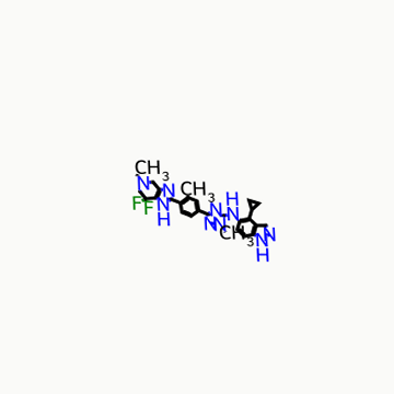 CCN1Cc2nc(-c3ccc(-c4nc(Nc5ccc6[nH]ncc6c5C5CC5)n(C)n4)cc3C)[nH]c2C(F)(F)C1